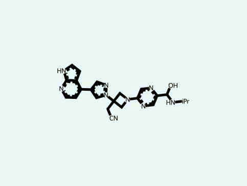 CC(C)NC(O)c1cnc(N2CC(CC#N)(n3cc(-c4ccnc5[nH]ccc45)cn3)C2)cn1